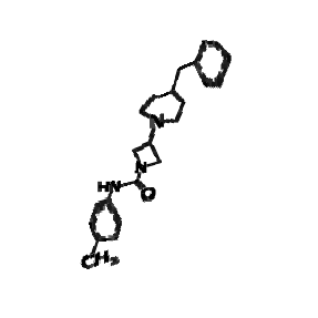 Cc1ccc(NC(=O)N2CC(N3CCC(Cc4ccccc4)CC3)C2)cc1